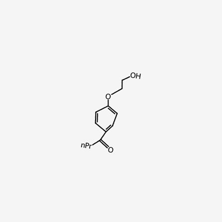 CCCC(=O)c1ccc(OCCO)cc1